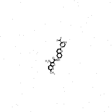 Cc1ccc2c(N)c(C(=O)N[C@H]3CCc4nc(N5CCN[C@H](C(F)F)C5)ccc4C3)sc2n1